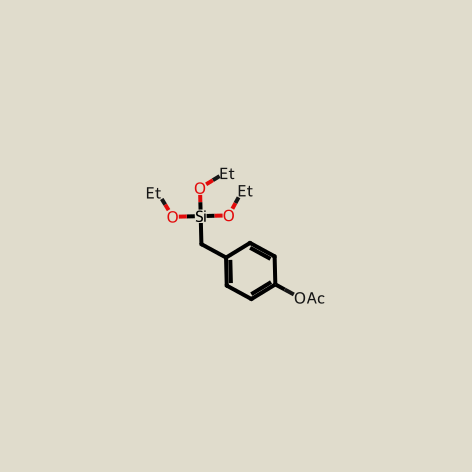 CCO[Si](Cc1ccc(OC(C)=O)cc1)(OCC)OCC